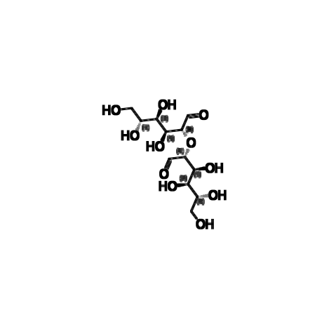 O=C[C@H](O[C@@H](C=O)[C@@H](O)[C@H](O)[C@H](O)CO)[C@@H](O)[C@H](O)[C@H](O)CO